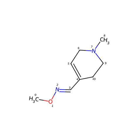 CO/N=C/C1=CCN(C)CC1